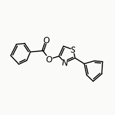 O=C(Oc1csc(-c2ccccc2)n1)c1ccccc1